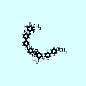 COc1ccc(-c2ccc(Oc3ccc(S(=O)(=O)c4ccc(Oc5ccc(-c6ccc(Oc7c(F)c(F)c(C)c(F)c7F)cc6)cc5)cc4)cc3C)cc2)cc1